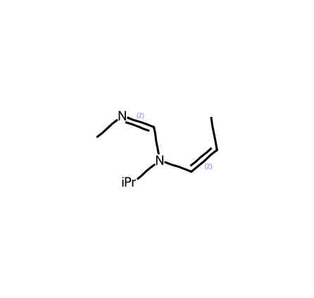 C/C=C\N(/C=N\C)C(C)C